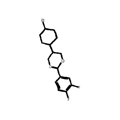 CCC1CCC(C2COC(c3ccc(F)c(F)c3)OC2)CC1